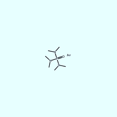 CN(C)P(=O)(N(C)C)N(C)C.[Au]